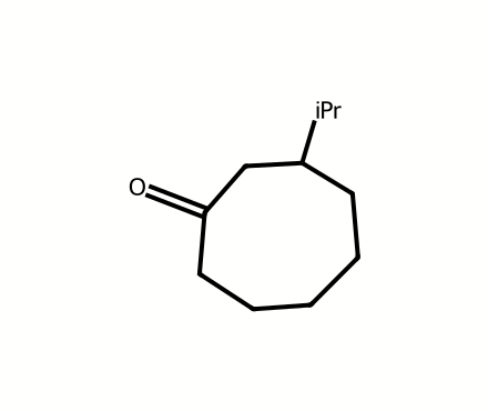 CC(C)C1CCCCCC(=O)C1